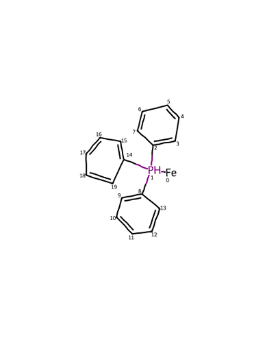 [Fe][PH](c1ccccc1)(c1ccccc1)c1ccccc1